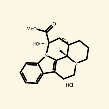 CC[C@]12CCCN3CCc4c(n(c5ccccc45)[C@@](O)(C(=O)OC)C1)[C@@H]32.Cl